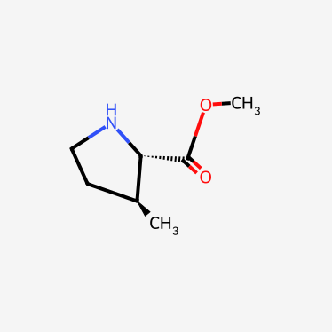 COC(=O)[C@H]1NCC[C@@H]1C